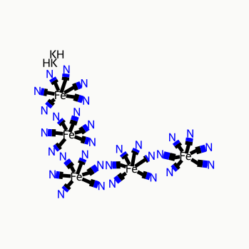 N#[C][Fe]([C]#N)([C]#N)([C]#N)([C]#N)[C]#N.N#[C][Fe]([C]#N)([C]#N)([C]#N)([C]#N)[C]#N.N#[C][Fe]([C]#N)([C]#N)([C]#N)([C]#N)[C]#N.N#[C][Fe]([C]#N)([C]#N)([C]#N)([C]#N)[C]#N.N#[C][Fe]([C]#N)([C]#N)([C]#N)([C]#N)[C]#N.[KH].[KH]